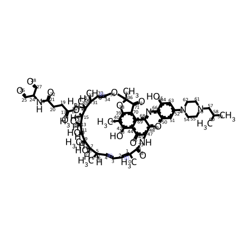 C/C1=C/C=C/[C@H](C)[C@H](O)[C@@H](C)[C@@H](O)[C@@H](C)[C@H](OC(=O)CCC(=O)NC(C=O)C=O)[C@H](C)[C@@H](C)/C=C/O[C@@]2(C)Oc3c(C)c(O)c4c(=O)c(c5oc6cc(N7CCN(CC(C)C)CC7)cc(O)c6nc-5c4c3C2=O)NC1=O